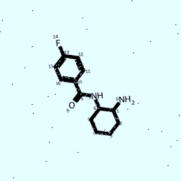 NC1CCCCC1NC(=O)c1ccc(F)cc1